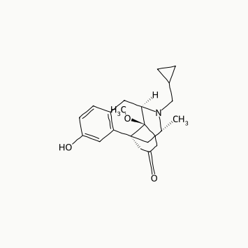 CO[C@@]12[C@H](C)CC(=O)C[C@@]13CCN(CC1CC1)[C@@H]2Cc1ccc(O)cc13